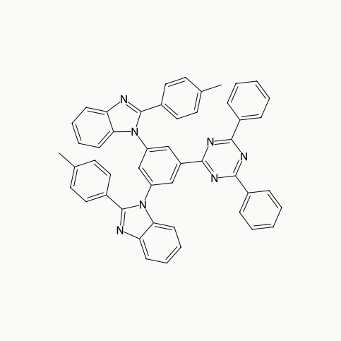 Cc1ccc(-c2nc3ccccc3n2-c2cc(-c3nc(-c4ccccc4)nc(-c4ccccc4)n3)cc(-n3c(-c4ccc(C)cc4)nc4ccccc43)c2)cc1